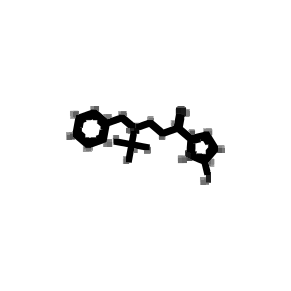 CC(C)(C)N(CCC(=O)c1ccc(I)s1)Cc1ccccc1